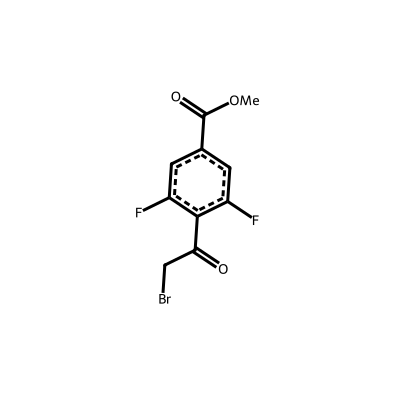 COC(=O)c1cc(F)c(C(=O)CBr)c(F)c1